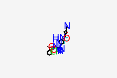 C[C@@H](OC(=O)Nc1c(-c2cc(F)c(NC(=O)C34CC(C#N)(C3)C4)cn2)nnn1C)c1ccccc1Cl